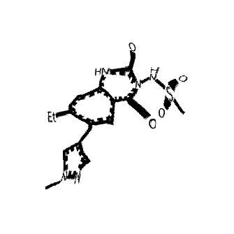 CCc1cc2[nH]c(=O)n(NS(C)(=O)=O)c(=O)c2cc1-c1cnn(C)c1